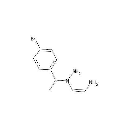 CC(c1ccc(Br)cc1)N(N)/C=C\N